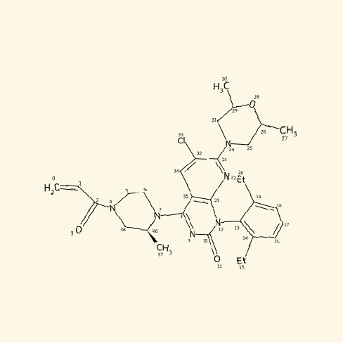 C=CC(=O)N1CCN(c2nc(=O)n(-c3c(CC)cccc3CC)c3nc(N4CC(C)OC(C)C4)c(Cl)cc23)[C@@H](C)C1